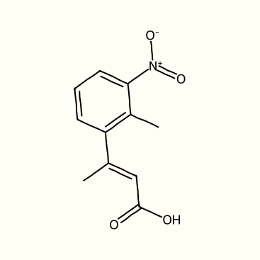 CC(=CC(=O)O)c1cccc([N+](=O)[O-])c1C